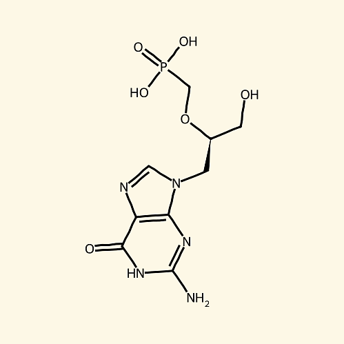 Nc1nc2c(ncn2C[C@H](CO)OCP(=O)(O)O)c(=O)[nH]1